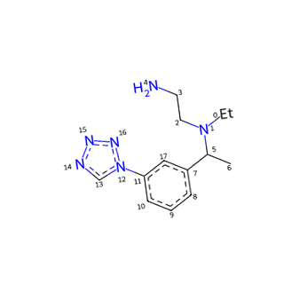 CCN(CCN)C(C)c1cccc(-n2cnnn2)c1